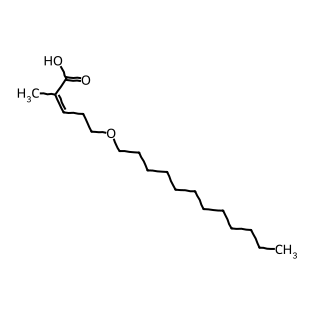 CCCCCCCCCCCCOCCC=C(C)C(=O)O